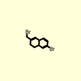 BrCC1=CC2C=CC(Br)=CC2CC1